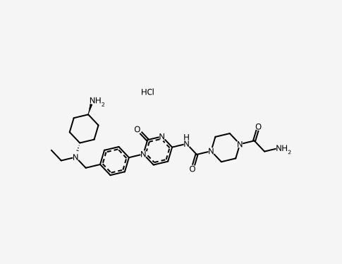 CCN(Cc1ccc(-n2ccc(NC(=O)N3CCN(C(=O)CN)CC3)nc2=O)cc1)[C@H]1CC[C@H](N)CC1.Cl